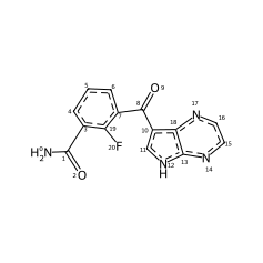 NC(=O)c1cccc(C(=O)c2c[nH]c3nccnc23)c1F